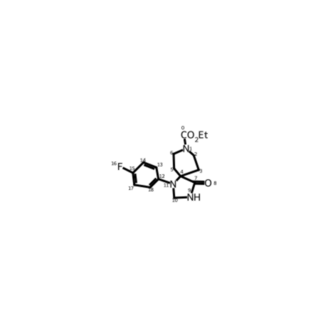 CCOC(=O)N1CCC2(CC1)C(=O)NCN2c1ccc(F)cc1